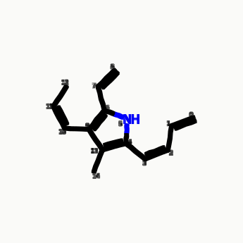 C=C/C=C\c1[nH]c(C=C)c(/C=C\C)c1C